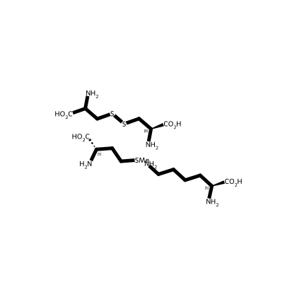 CSCC[C@H](N)C(=O)O.NC(CSSC[C@H](N)C(=O)O)C(=O)O.NCCCC[C@H](N)C(=O)O